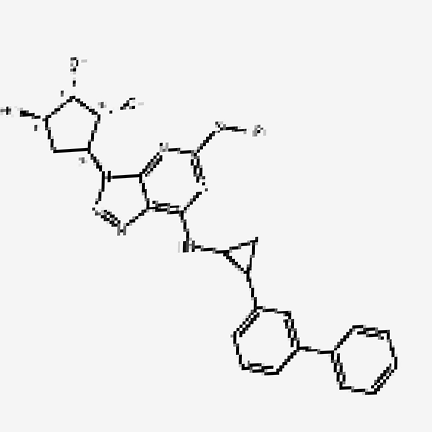 CCCSc1nc(NC2CC2c2cccc(-c3ccccc3)c2)c2nnn([C@H]3C[C@@H](O)[C@H](O)[C@@H]3O)c2n1